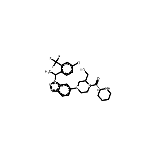 CC(c1ccc(Cl)cc1C(F)(F)F)n1nnc2ccc(N3CCN(C(=O)[C@H]4CCCCN4)C(CO)C3)cc21